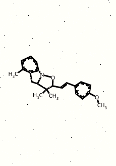 COc1ccc(C=CC2ON3c4cccc(C)c4CC3C2(C)C)cc1